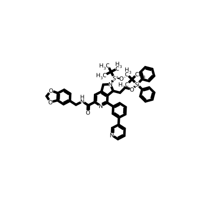 CC(C)(C)[S@@+]([O-])N1Cc2cc(C(=O)NCc3ccc4c(c3)OCO4)nc(-c3cccc(-c4cccnc4)c3)c2C1CCO[Si](c1ccccc1)(c1ccccc1)C(C)(C)C